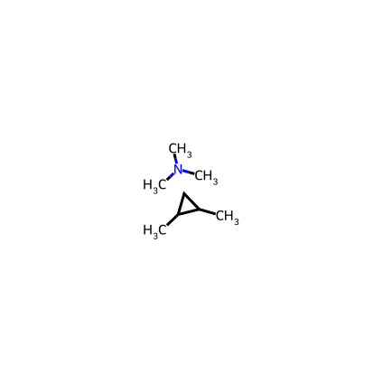 CC1CC1C.CN(C)C